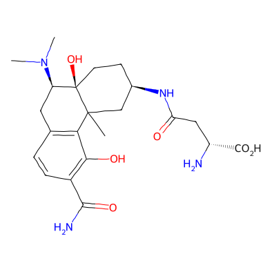 CN(C)[C@@H]1Cc2ccc(C(N)=O)c(O)c2C2(C)C[C@H](NC(=O)C[C@@H](N)C(=O)O)CC[C@@]12O